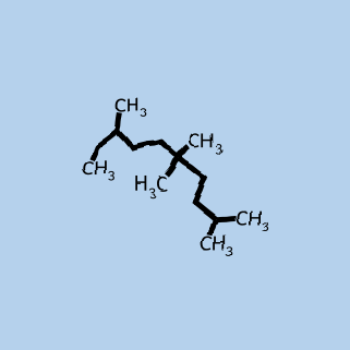 CCC(C)CCC(C)(C)CCC(C)C